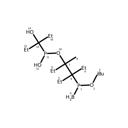 BP(OC(C)CC)C(CC)(CC)C(C)(CC)OP(O)C(O)(CC)CC